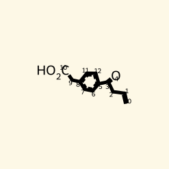 C=CCC(=O)c1ccc(CC(=O)O)cc1